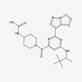 CC(Nc1cc(C(=O)N2CCC(NC(=O)O)CC2)nc(-c2cnn3ccsc23)n1)C(C)(C)C